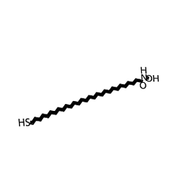 O=C(CCCCCCCCCCCCCCCCCCCCCCCCCCCCS)NO